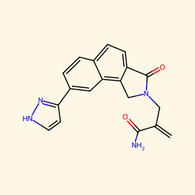 C=C(CN1Cc2c(ccc3ccc(-c4cc[nH]n4)cc23)C1=O)C(N)=O